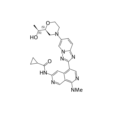 CNc1ncc(-c2nc3ccc(N4CCO[C@H]([C@H](C)O)C4)cn3n2)c2cc(NC(=O)C3CC3)ncc12